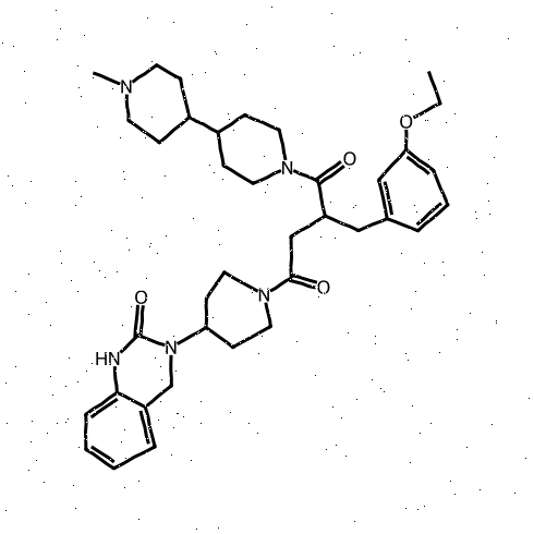 CCOc1cccc(CC(CC(=O)N2CCC(N3Cc4ccccc4NC3=O)CC2)C(=O)N2CCC(C3CCN(C)CC3)CC2)c1